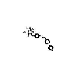 CCCCS(=O)(=O)NC(Cc1ccc(OCCC2CCN(c3ccncc3)CC2)cc1)C(=O)OC